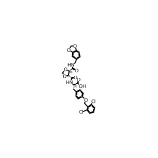 O=C(O)[C@H](Cc1ccc(OCc2c(Cl)cccc2Cl)cc1)NC(=O)[C@@H]1OCO[C@H]1C(=O)NCc1ccc2c(c1)OCO2